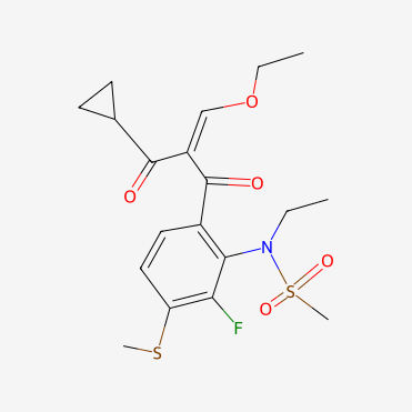 CCO/C=C(\C(=O)c1ccc(SC)c(F)c1N(CC)S(C)(=O)=O)C(=O)C1CC1